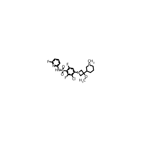 COC1(C2CCCN(C)C2)CN(c2cc(F)c(S(=O)(=O)Nc3cccc(F)n3)c(F)c2Cl)C1